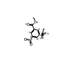 CC#N.COC(=O)c1cccc([N+](=O)[O-])c1.F